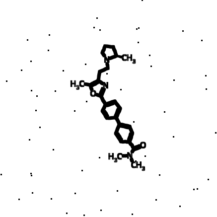 Cc1oc(-c2ccc(-c3ccc(C(=O)N(C)C)cc3)cc2)nc1CCN1CCC[C@H]1C